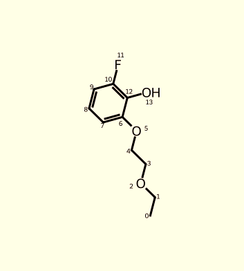 CCOCCOc1cccc(F)c1O